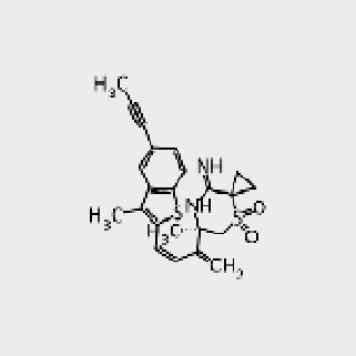 C=C(/C=C\c1sc2ccc(C#CC)cc2c1C)[C@]1(C)CS(=O)(=O)C2(CC2)C(=N)N1